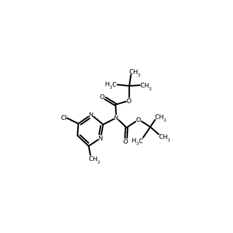 Cc1cc(Cl)nc(N(C(=O)OC(C)(C)C)C(=O)OC(C)(C)C)n1